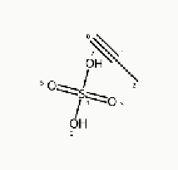 C#CC.O=S(=O)(O)O